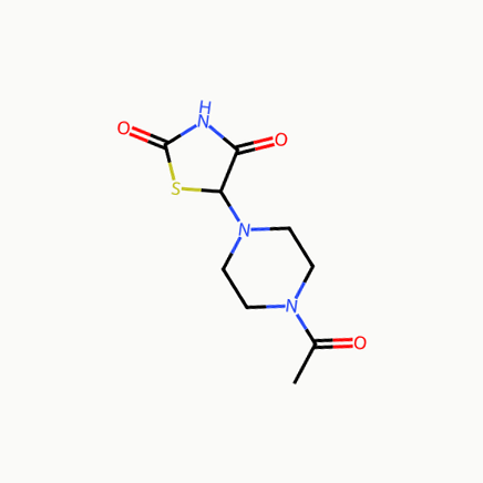 CC(=O)N1CCN(C2SC(=O)NC2=O)CC1